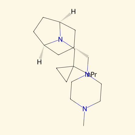 CCCC1(CN2[C@@H]3CC[C@H]2C[C@H](CN2CCN(C)CC2)C3)CC1